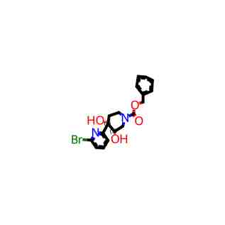 O=C(OCc1ccccc1)N1CC[C@](O)(c2cccc(Br)n2)[C@@H](O)C1